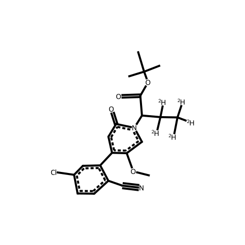 [2H]C([2H])([2H])C([2H])([2H])C(C(=O)OC(C)(C)C)n1cc(OC)c(-c2cc(Cl)ccc2C#N)cc1=O